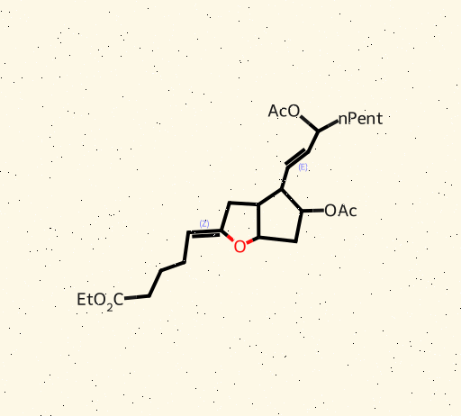 CCCCCC(/C=C/C1C(OC(C)=O)CC2O/C(=C\CCCC(=O)OCC)CC21)OC(C)=O